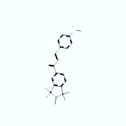 CC1C(C)(C)c2ccc(C(=O)/C=C/c3ccc([S+](C)[O-])cc3)cc2C1(C)C